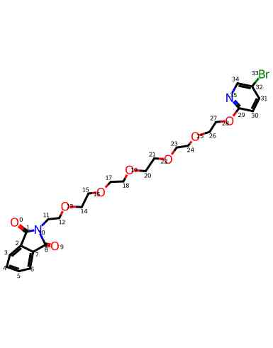 O=C1c2ccccc2C(=O)N1CCOCCOCCOCCOCCOCCOc1ccc(Br)cn1